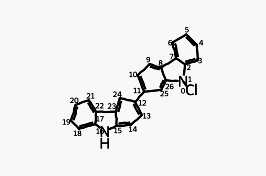 Cln1c2ccccc2c2ccc(-c3ccc4[nH]c5ccccc5c4c3)cc21